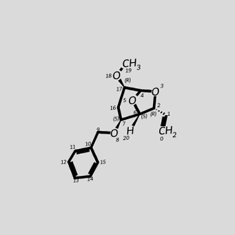 C=C[C@H]1OC2O[C@H]1[C@@H](OCc1ccccc1)C[C@H]2OC